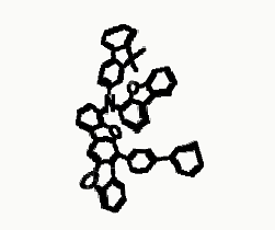 CC1(C)c2ccccc2-c2ccc(N(c3cccc4c3oc3ccccc34)c3cccc4c3oc3c(-c5ccc(-c6ccccc6)cc5)c5c(cc34)oc3ccccc35)cc21